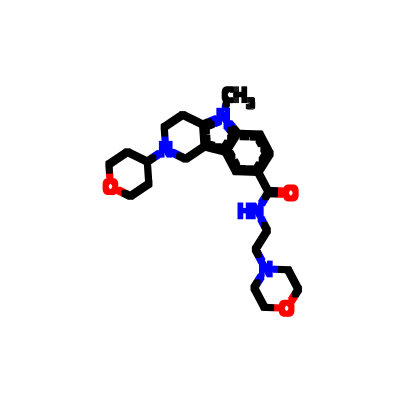 Cn1c2c(c3cc(C(=O)NCCN4CCOCC4)ccc31)CN(C1CCOCC1)CC2